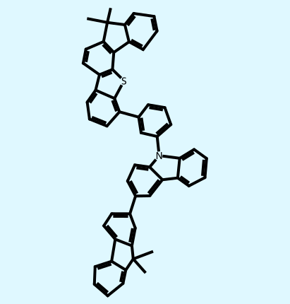 CC1(C)c2ccccc2-c2ccc(-c3ccc4c(c3)c3ccccc3n4-c3cccc(-c4cccc5c4sc4c6c(ccc45)C(C)(C)c4ccccc4-6)c3)cc21